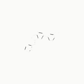 FC(F)(F)c1cccc(-c2cnc3c(c2)N(Cc2cccnn2)CN3)c1